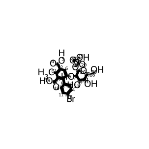 Cc1c(C(=O)O)ccc(-c2ccc(Br)cc2)c1C(=O)O.O=S(=O)(O)O[C@@H]1O[C@H](CO)[C@@H](O)[C@H](O)[C@H]1O